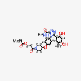 CCNC(=O)c1nnc(-c2cc(C(C)C)c(O)cc2O)n1-c1ccc(OC2CCN(C(=O)CCOC(=O)NC)CC2)cc1